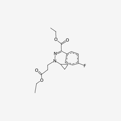 CCOC(=O)CCN(N=C(C(=O)OCC)c1ccc(F)cc1)C1CC1